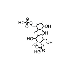 CO[C@@H]1C(O)[C@H](O[C@H]2C(COS(=O)(=O)O)O[C@H](C)C(O)[C@H]2O)OC(CO)[C@@H]1OS(=O)(=O)O